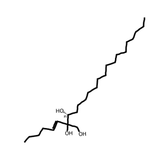 CCCCC=CC(O)(CO)[C@H](O)CCCCCCCCCCCCCCCC